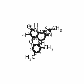 Cc1cc(C)cc(Oc2c(C(S)Cc3csc(C)n3)c(C)[nH]c(=O)c2I)c1